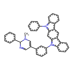 CN1C=C(c2cccc(-n3c4ccccc4c4cc5c6ccccc6n(-c6ccccc6)c5cc43)c2)C=NC1c1ccccc1